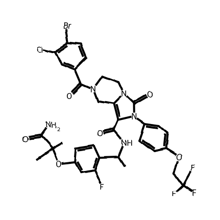 CC(NC(=O)c1c2n(c(=O)n1-c1ccc(OCC(F)(F)F)cc1)CCN(C(=O)c1ccc(Br)c(Cl)c1)C2)c1ccc(OC(C)(C)C(N)=O)cc1F